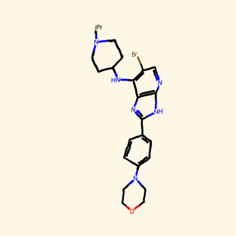 CC(C)N1CCC(Nc2c(Br)cnc3[nH]c(-c4ccc(N5CCOCC5)cc4)nc23)CC1